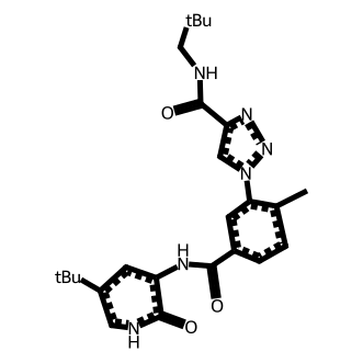 Cc1ccc(C(=O)Nc2cc(C(C)(C)C)c[nH]c2=O)cc1-n1cc(C(=O)NCC(C)(C)C)nn1